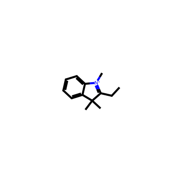 CCC1=[N+](C)c2ccccc2C1(C)C